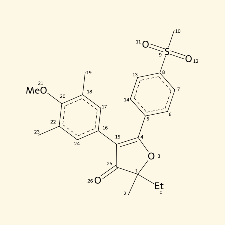 CCC1(C)OC(c2ccc(S(C)(=O)=O)cc2)=C(c2cc(C)c(OC)c(C)c2)C1=O